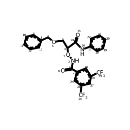 O=C(NOC(COCc1ccccc1)C(=O)Nc1ccccc1)c1cc(C(F)(F)F)cc(C(F)(F)F)c1